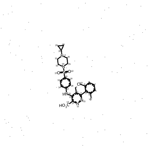 Cc1c(-c2c(F)cccc2Cl)nnc(C(=O)O)c1Nc1ccc(S(=O)(=O)N2CCN(C3CC3)CC2)cc1